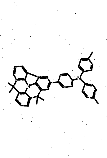 Cc1ccc(N(c2ccc(C)cc2)c2ccc(-c3cc4c5c(c3)c3cccc6c3n5-c3c(cccc3C4(C)C)C6(C)C)cc2)cc1